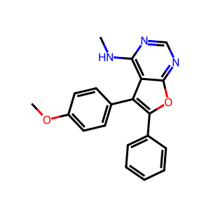 CNc1ncnc2oc(-c3ccccc3)c(-c3ccc(OC)cc3)c12